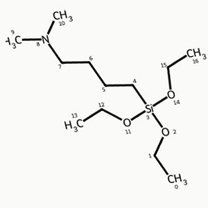 CCO[Si](CCCCN(C)C)(OCC)OCC